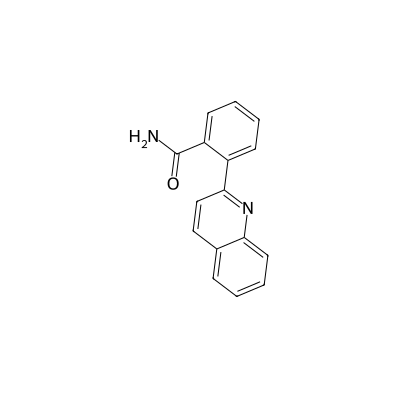 NC(=O)c1ccccc1-c1ccc2ccccc2n1